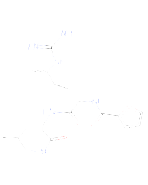 CC(C)C[C@H](NC(=O)[C@H](CCC(C)NC(=N)N)NC(=O)c1ccco1)C(N)=O